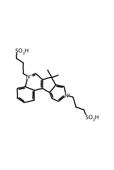 CC1(C)c2c[n+](CCCS(=O)(=O)O)ccc2-c2c1c[n+](CCCS(=O)(=O)O)c1ccccc21